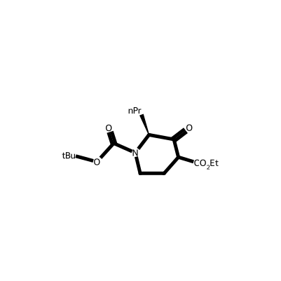 CCC[C@H]1C(=O)C(C(=O)OCC)CCN1C(=O)OC(C)(C)C